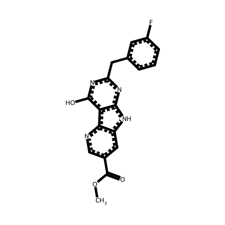 COC(=O)c1cnc2c(c1)[nH]c1nc(Cc3cccc(F)c3)nc(O)c12